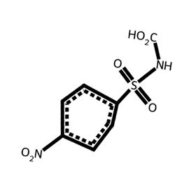 O=C(O)NS(=O)(=O)c1ccc([N+](=O)[O-])cc1